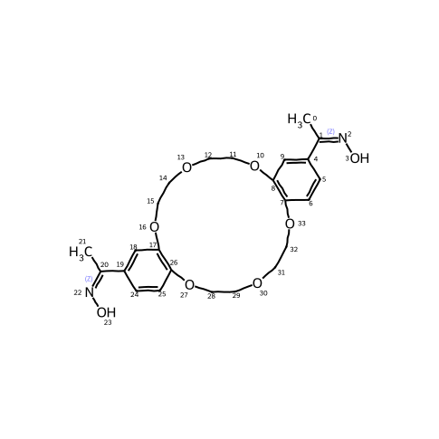 C/C(=N/O)c1ccc2c(c1)OCCOCCOc1cc(/C(C)=N\O)ccc1OCCOCCO2